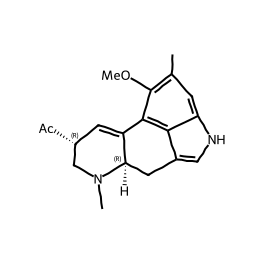 COc1c(C)cc2[nH]cc3c2c1C1=C[C@@H](C(C)=O)CN(C)[C@@H]1C3